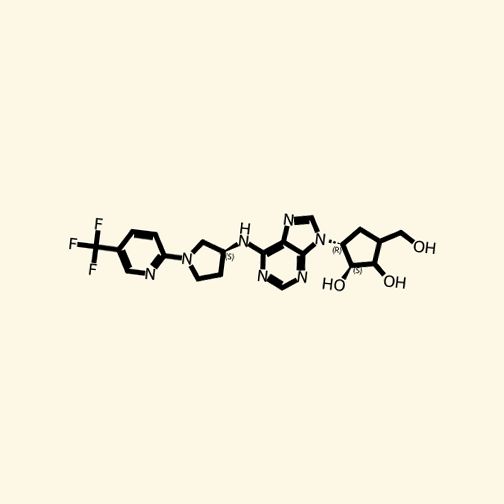 OCC1C[C@@H](n2cnc3c(N[C@H]4CCN(c5ccc(C(F)(F)F)cn5)C4)ncnc32)[C@H](O)C1O